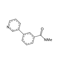 CNC(=O)c1cccc(-c2cccnc2)c1